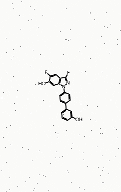 Oc1cccc(-c2ccc(-n3nc(F)c4cc(F)c(O)cc43)cc2)c1